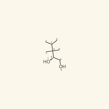 CC(C)C(C)(C)[C@H](O)CO